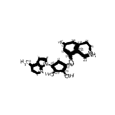 Cc1ccnc2c1ccn2[C@@H]1C[C@H](Oc2cc(F)cc3c2CNCC3)[C@@H](O)[C@H]1O